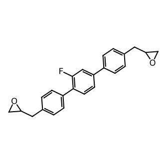 Fc1cc(-c2ccc(CC3CO3)cc2)ccc1-c1ccc(CC2CO2)cc1